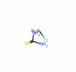 NC(N)=S.[AlH2][Cl]